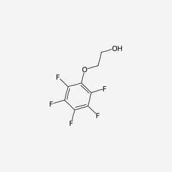 OCCOc1c(F)c(F)c(F)c(F)c1F